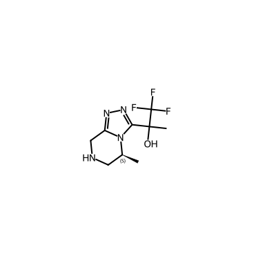 C[C@H]1CNCc2nnc(C(C)(O)C(F)(F)F)n21